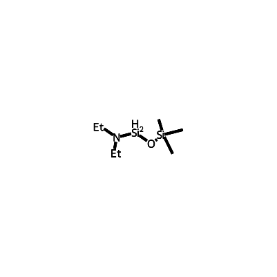 CCN(CC)[SiH2]O[Si](C)(C)C